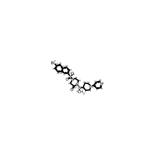 CN(C1CCN(c2ccncc2)CC1)N1CCN(S(=O)(=O)c2ccc3cc(Br)ccc3c2)CC1=O